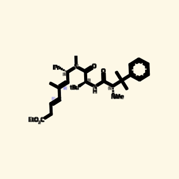 CCOC(=O)C/C=C/C(C)=C/[C@H](C(C)C)N(C)C(=O)[C@@H](NC(=O)[C@@H](NC)C(C)(C)c1ccccc1)C(C)(C)C